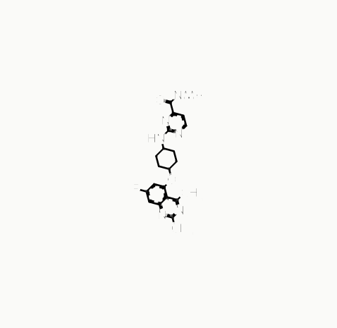 CNC(=O)c1ccnc(NC2CCC(Oc3cc(F)cc4nc(C)nc(C)c34)CC2)n1